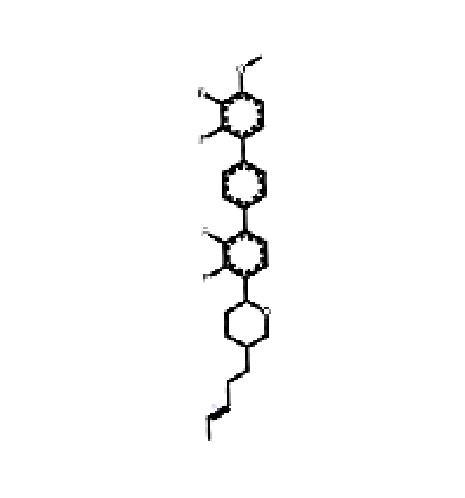 C/C=C/CCC1CCC(c2ccc(-c3ccc(-c4ccc(OC)c(F)c4F)cc3)c(F)c2F)OC1